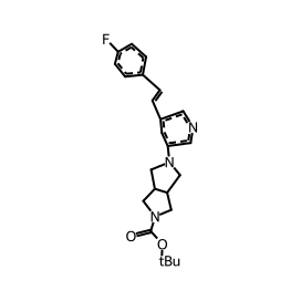 CC(C)(C)OC(=O)N1CC2CN(c3cncc(C=Cc4ccc(F)cc4)c3)CC2C1